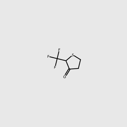 O=C1CCSC1C(F)(F)F